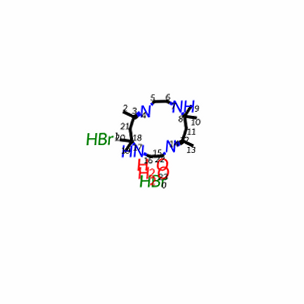 Br.Br.C/C1=N\CCNC(C)(C)C/C(C)=N/CCNC(C)(C)C1.O.O